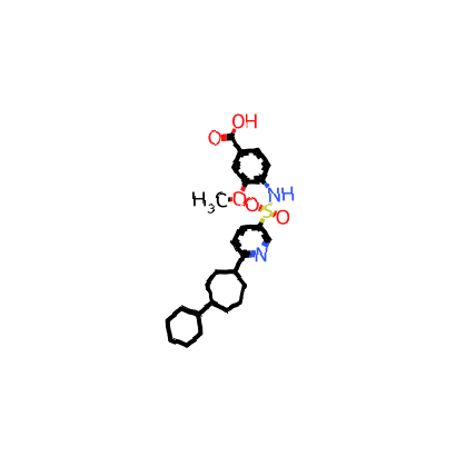 COc1cc(C(=O)O)ccc1NS(=O)(=O)c1ccc(C2CCCC(C3CCCCC3)CC2)nc1